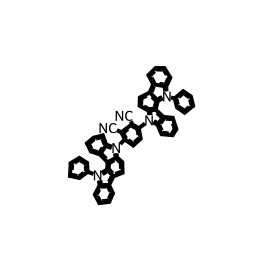 N#Cc1c(-n2c3ccccc3c3c2ccc2c4ccccc4n(-c4ccccc4)c23)ccc(-n2c3ccccc3c3c2ccc2c4ccccc4n(-c4ccccc4)c23)c1C#N